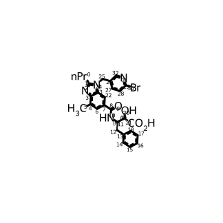 CCCc1nc2c(C)cc(C(=O)N[C@H](Cc3ccccc3)[C@@H](O)C(=O)O)cc2n1Cc1ccc(Br)nc1